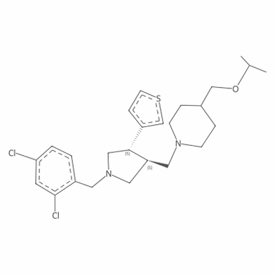 CC(C)OCC1CCN(C[C@H]2CN(Cc3ccc(Cl)cc3Cl)C[C@@H]2c2ccsc2)CC1